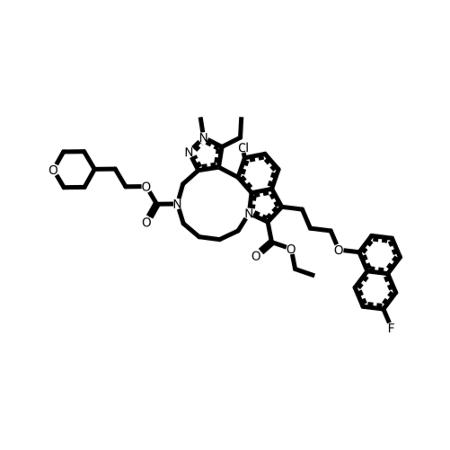 CCOC(=O)c1c(CCCOc2cccc3cc(F)ccc23)c2ccc(Cl)c3c2n1CCCCN(C(=O)OCCC1CCOCC1)Cc1nn(C)c(CC)c1-3